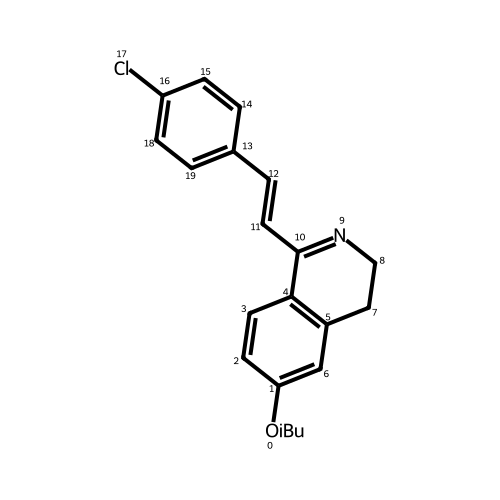 CC(C)COc1ccc2c(c1)CCN=C2C=Cc1ccc(Cl)cc1